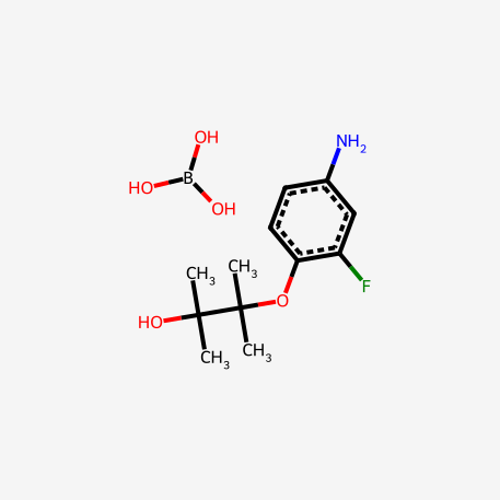 CC(C)(O)C(C)(C)Oc1ccc(N)cc1F.OB(O)O